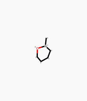 C[Si]1CCCCO1